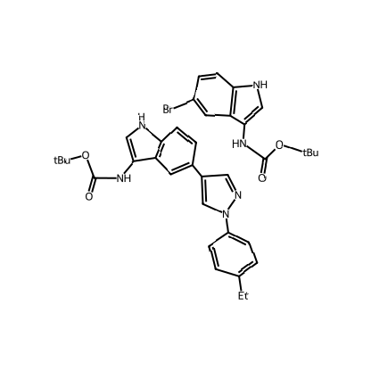 CC(C)(C)OC(=O)Nc1c[nH]c2ccc(Br)cc12.CCc1ccc(-n2cc(-c3ccc4[nH]cc(NC(=O)OC(C)(C)C)c4c3)cn2)cc1